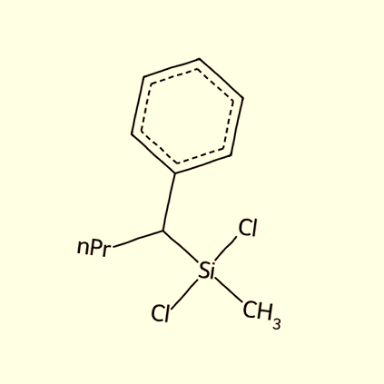 CCCC(c1ccccc1)[Si](C)(Cl)Cl